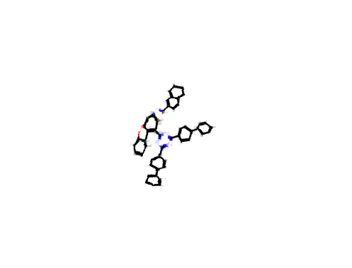 c1ccc(-c2ccc(-c3nc(-c4ccc(-c5ccccc5)cc4)nc(-c4c5sc(-c6ccc7ccccc7c6)nc5cc5oc6ccccc6c45)n3)cc2)cc1